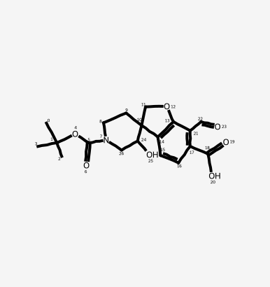 CC(C)(C)OC(=O)N1CCC2(COc3c2ccc(C(=O)O)c3C=O)C(O)C1